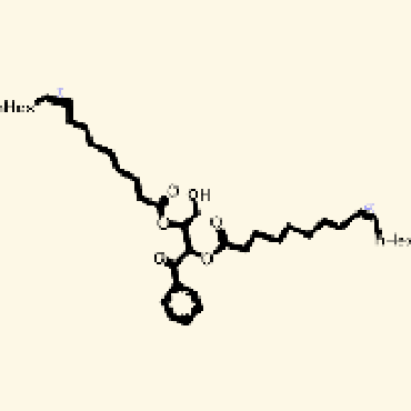 CCCCCC/C=C\CCCCCCCC(=O)OC(CO)C(OC(=O)CCCCCCC/C=C\CCCCCC)C(=O)c1ccccc1